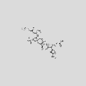 CCOC(=O)OC(C)OC(=O)C1(C=CC(F)(F)F)CS[C@@H]2C(NC(=O)C(=NOCC(=O)O)c3csc(N)n3)C(=O)N2C1